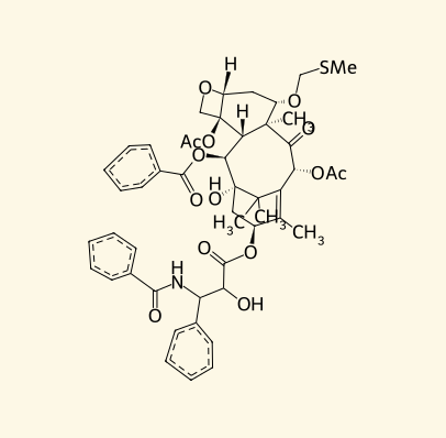 CSCO[C@H]1C[C@H]2OC[C@@]2(OC(C)=O)[C@H]2[C@H](OC(=O)c3ccccc3)[C@]3(O)C[C@H](OC(=O)C(O)C(NC(=O)c4ccccc4)c4ccccc4)C(C)=C([C@@H](OC(C)=O)C(=O)[C@]12C)C3(C)C